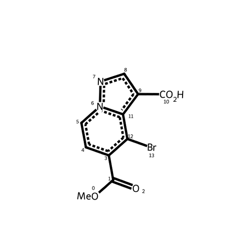 COC(=O)c1ccn2ncc(C(=O)O)c2c1Br